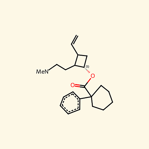 C=CC1C[C@H](OC(=O)C2(c3ccccc3)CCCCC2)C1CCNC